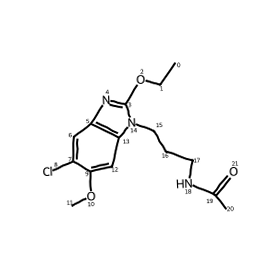 CCOc1nc2cc(Cl)c(OC)cc2n1CCCNC(C)=O